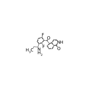 CCC(N)c1ccc(F)c(C(=O)c2cccc3c(=O)[nH]ccc23)c1F